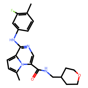 Cc1ccc(Nc2ncc(C(=O)NCC3CCOCC3)n3c(C)ccc23)cc1F